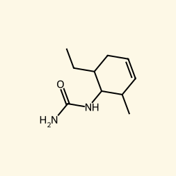 CCC1CC=CC(C)C1NC(N)=O